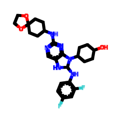 OC1CCC(N2c3nc(NC4CCC5(CC4)OCCO5)ncc3NC2Nc2ccc(F)cc2F)CC1